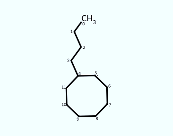 CCCCC1[CH]CCCCCC1